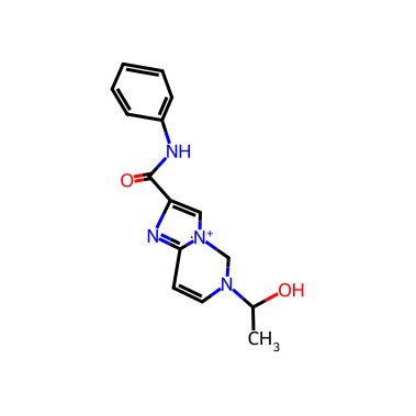 CC(O)N1C=CC2=NC(C(=O)Nc3ccccc3)=C[N+]2C1